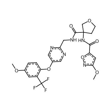 COc1ccc(Oc2cnc(CNC(=O)C3(NC(=O)c4cc(OC)no4)CCOC3)nc2)c(C(F)(F)F)c1